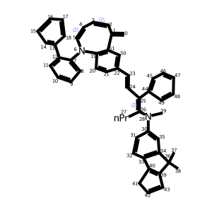 C=C1/C=C\C=C/N(c2ccccc2-c2ccccc2)c2ccc(C=C/C(=C(\CCC)N(C)c3ccc4c(c3)C(C)(C)C3=C4CC=C3)c3ccccc3)cc21